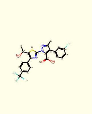 Cc1nn(-c2nc(-c3ccc(C(F)(F)F)cc3)c(C(C)O)s2)c(C(=O)O)c1-c1cccc(F)c1